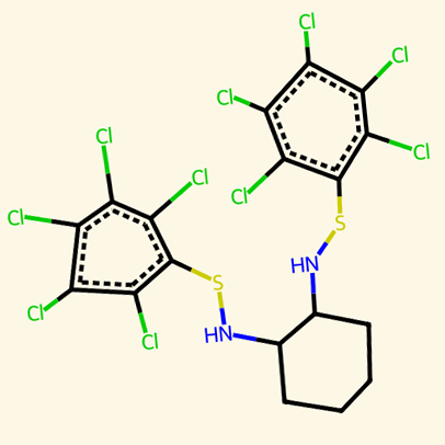 Clc1c(Cl)c(Cl)c(SNC2CCCCC2NSc2c(Cl)c(Cl)c(Cl)c(Cl)c2Cl)c(Cl)c1Cl